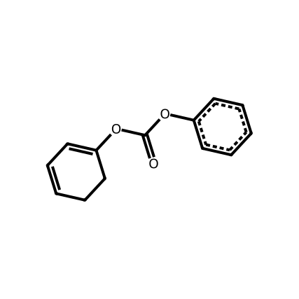 O=C(OC1=CC=CCC1)Oc1ccccc1